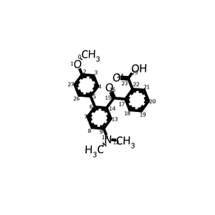 COc1ccc(-c2ccc(N(C)C)cc2C(=O)c2ccccc2C(=O)O)cc1